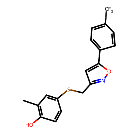 Cc1cc(SCc2cc(-c3ccc(C(F)(F)F)cc3)on2)ccc1O